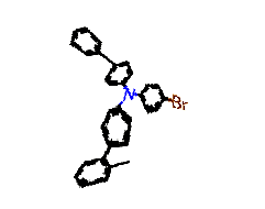 Cc1ccccc1-c1ccc(N(c2ccc(Br)cc2)c2ccc(-c3ccccc3)cc2)cc1